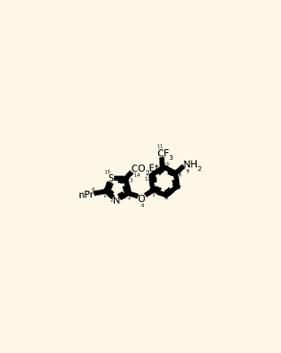 CCCc1nc(Oc2ccc(N)c(C(F)(F)F)c2)c(C(=O)OCC)s1